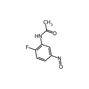 CC(=O)Nc1cc(N=O)ccc1F